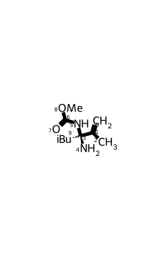 C=C(C)[C@@](N)(NC(=O)OC)[C@@H](C)CC